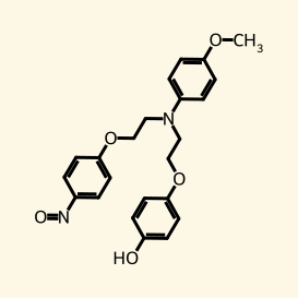 COc1ccc(N(CCOc2ccc(O)cc2)CCOc2ccc(N=O)cc2)cc1